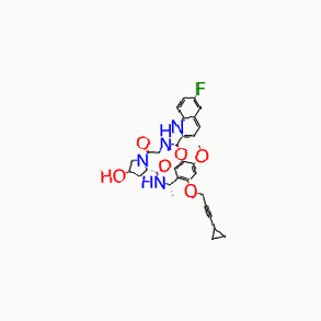 COc1ccc([C@H](C)NC(=O)[C@@H]2C[C@@H](O)CN2C(=O)CNC(=O)c2ccc3cc(F)ccc3n2)c(OCC#CC2CC2)c1